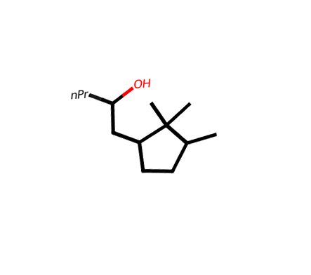 CCCC(O)CC1CCC(C)C1(C)C